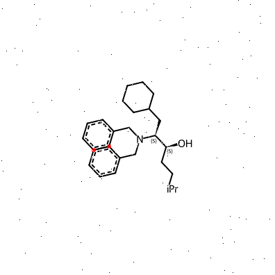 CC(C)CC[C@H](O)[C@H](CC1CCCCC1)N(Cc1ccccc1)Cc1ccccc1